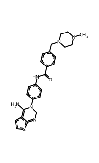 CN1CCN(Cc2ccc(C(=O)Nc3ccc(N4CN=c5sccc5=C4N)cc3)cc2)CC1